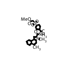 COC(=O)CS(=O)(=O)c1ccc(C(C)NC(=O)c2cc3c4ccccc4c(C)cc3n2C)cc1